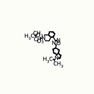 CC(C)n1ccc2cc(-c3nc(-c4cccc5c4CCN(C(=O)OC(C)(C)C)C5)no3)ccc21